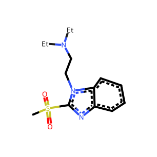 CCN(CC)CCn1c(S(C)(=O)=O)nc2ccccc21